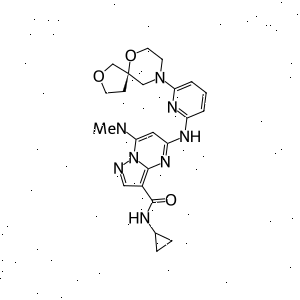 CNc1cc(Nc2cccc(N3CCO[C@]4(CCOC4)C3)n2)nc2c(C(=O)NC3CC3)cnn12